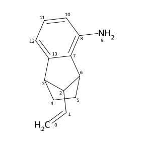 C=CC1C2CCC1c1c(N)cccc12